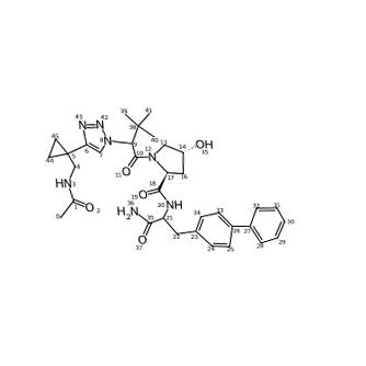 CC(=O)NCC1(c2cn(C(C(=O)N3C[C@H](O)C[C@H]3C(=O)NC(Cc3ccc(-c4ccccc4)cc3)C(N)=O)C(C)(C)C)nn2)CC1